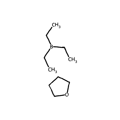 C1CCOC1.CCB(CC)CC